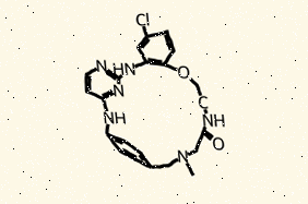 CN1CC(=O)NCCOc2ccc(Cl)cc2Nc2nccc(n2)Nc2ccc(cc2)C1